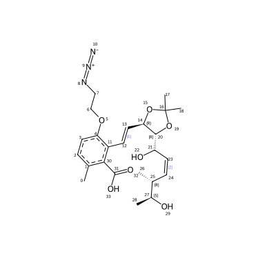 Cc1ccc(OCCN=[N+]=[N-])c(/C=C/[C@H]2OC(C)(C)O[C@@H]2C(O)/C=C\[C@@H](C)[C@H](C)O)c1C(=O)O